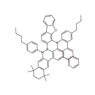 CCCCc1ccc(N2B3c4ccc5c(oc6ccccc65)c4N(c4ccc(CCCC)cc4-c4ccccc4)c4cc(-c5ccccc5)cc(c43)-c3cc4c(cc32)C(C)(C)CCC4(C)C)cc1